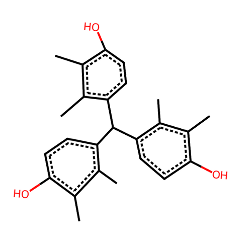 Cc1c(O)ccc(C(c2ccc(O)c(C)c2C)c2ccc(O)c(C)c2C)c1C